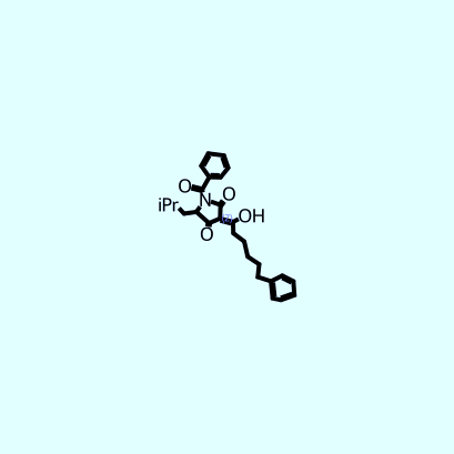 CC(C)CC1C(=O)/C(=C(/O)CCCCCc2ccccc2)C(=O)N1C(=O)c1ccccc1